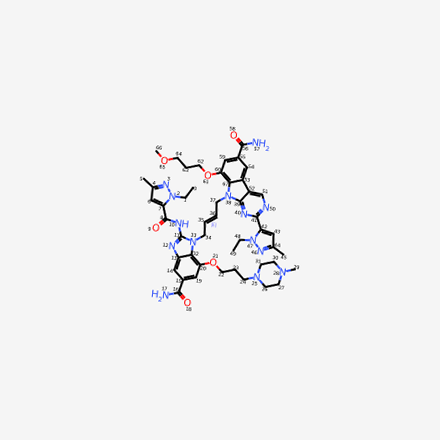 CCn1nc(C)cc1C(=O)Nc1nc2cc(C(N)=O)cc(OCCCN3CCN(C)CC3)c2n1C/C=C/Cn1c2nc(-c3cc(C)nn3CC)ncc2c2cc(C(N)=O)cc(OCCCOC)c21